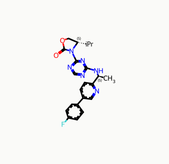 CC(C)[C@H]1COC(=O)N1c1ncnc(N[C@@H](C)c2ccc(-c3ccc(F)cc3)cn2)n1